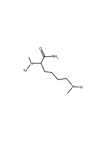 [1H]N(C)C(CCCCN([2H])C)C(N)=O